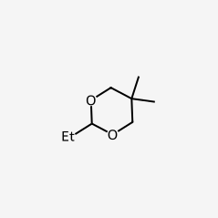 [CH2]CC1OCC(C)(C)CO1